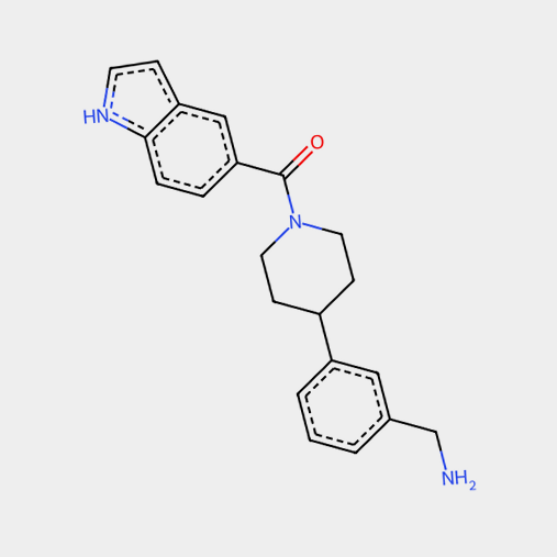 NCc1cccc(C2CCN(C(=O)c3ccc4[nH]ccc4c3)CC2)c1